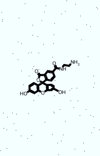 NCCNC(=O)c1ccc2c(c1)C(=O)OC21c2ccc(O)cc2Oc2cc(O)ccc21